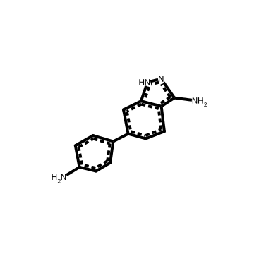 Nc1ccc(-c2ccc3c(N)n[nH]c3c2)cc1